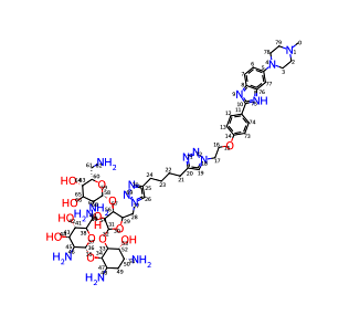 CN1CCN(c2ccc3nc(-c4ccc(OCCn5cc(CCCCc6cn(CC7OC(OC8[C@H](O[C@H]9OC(CN)[C@@H](O)[C@H](O)C9N)C(N)C[C@@H](N)[C@H]8O)[C@@H](O)[C@H]7O[C@H]7O[C@@H](CN)[C@@H](O)C(O)C7N)nn6)nn5)cc4)[nH]c3c2)CC1